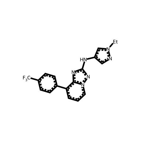 CCn1cc(Nc2nc3c(-c4ccc(C(F)(F)F)cc4)cccn3n2)cn1